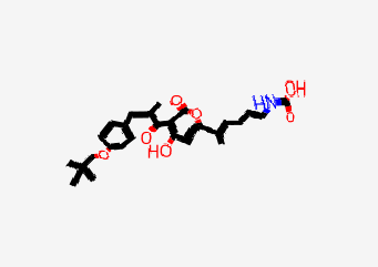 CC(=Cc1ccc(OCC(C)(C)C)cc1)C(=O)c1c(O)cc(C(C)CCC=CNC(=O)O)oc1=O